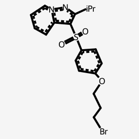 CC(C)c1nn2ccccc2c1S(=O)(=O)c1ccc(OCCCBr)cc1